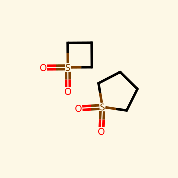 O=S1(=O)CCC1.O=S1(=O)CCCC1